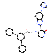 Cc1cc(-n2ccnc2)cc2[nH]c(-c3c(NCC(O)c4cc(-c5ccccc5)cc(-c5ccccc5)c4)cc[nH]c3=O)nc12